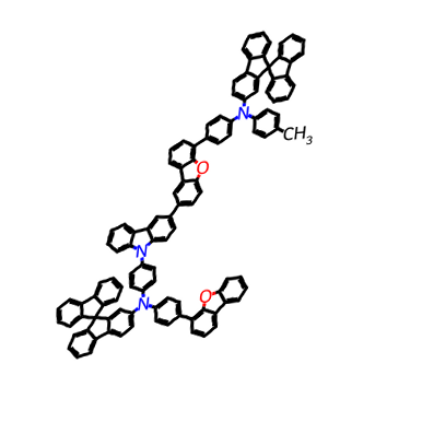 Cc1ccc(N(c2ccc(-c3cccc4c3oc3ccc(-c5ccc6c(c5)c5ccccc5n6-c5ccc(N(c6ccc(-c7cccc8c7oc7ccccc78)cc6)c6ccc7c(c6)C6(c8ccccc8-c8ccccc86)c6ccccc6-7)cc5)cc34)cc2)c2ccc3c(c2)C2(c4ccccc4-c4ccccc42)c2ccccc2-3)cc1